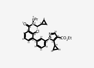 CCCN(CC1CC1)C(=O)c1cccc(-c2cccc(-n3ncc(C(=O)OCC)c3C3CC3)c2)c1Cl